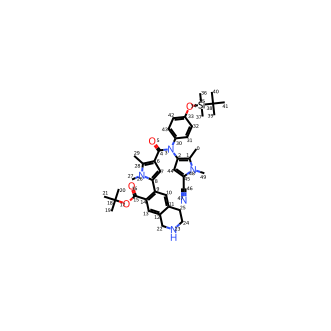 Cc1c(N(C(=O)c2cc(-c3cc4c(cc3C(=O)OC(C)(C)C)CNCC4)n(C)c2C)c2ccc(O[Si](C)(C)C(C)(C)C)cc2)cc(C#N)n1C